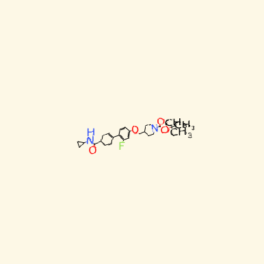 CC(C)(C)OC(=O)N1CCC(COc2ccc(C3=CCC(C(=O)NC4CC4)CC3)c(F)c2)CC1